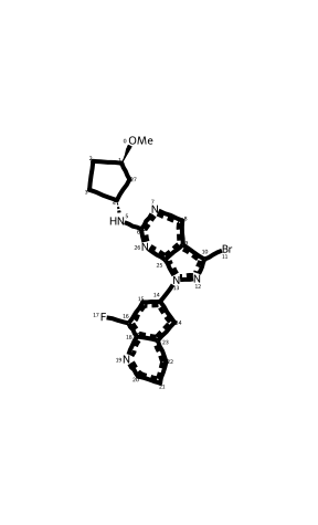 CO[C@@H]1CC[C@@H](Nc2ncc3c(Br)nn(-c4cc(F)c5ncccc5c4)c3n2)C1